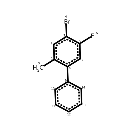 Cc1cc(Br)c(F)cc1-c1ccccc1